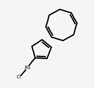 C1=C\CC/C=C\CC/1.[Cl][Ru][C]1=CC=CC1